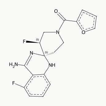 NC1=N[C@]2(CCN(C(=O)c3ccco3)C[C@@H]2F)Nc2cccc(F)c21